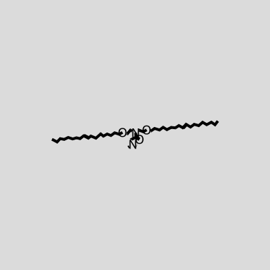 CCCCCCCCC=CCCCCCCCCOCCN(CCOCCCCCCCCC=CCCCCCCCC)C(=O)CN(C)C